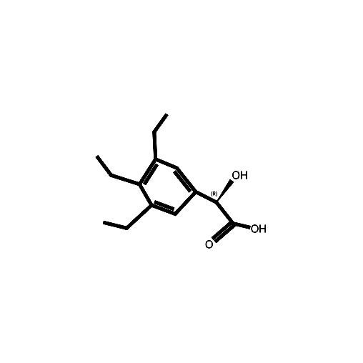 CCc1cc([C@@H](O)C(=O)O)cc(CC)c1CC